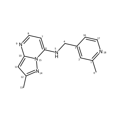 Cc1cc(CNc2ccnc3cc(C)nn23)ccn1